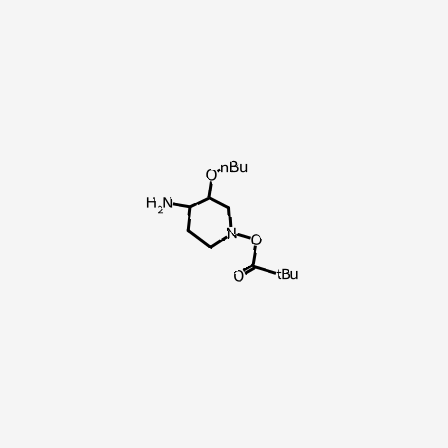 CCCCOC1CN(OC(=O)C(C)(C)C)CCC1N